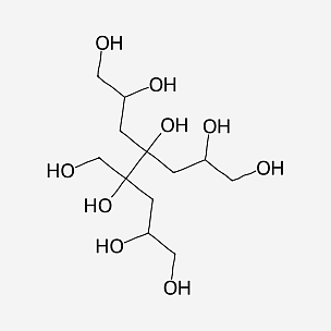 OCC(O)CC(O)(CO)C(O)(CC(O)CO)CC(O)CO